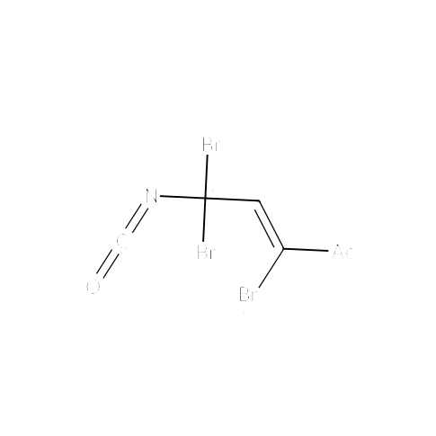 CC(=O)C(Br)=CC(Br)(Br)N=C=O